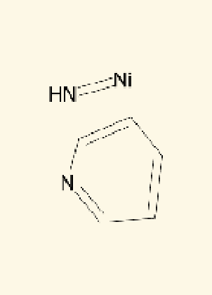 [NH]=[Ni].c1ccncc1